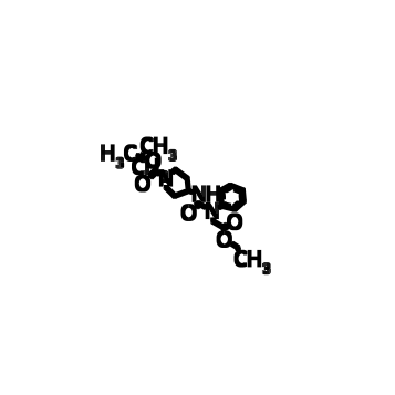 CCOC(=O)CN(C(=O)NC1CCN(C(=O)OC(C)(C)C)CC1)c1ccccc1